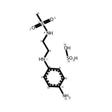 CS(=O)(=O)NCCNc1ccc(N)cc1.O=S(=O)(O)O